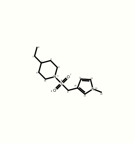 CCC1CCN(S(=O)(=O)Cc2ccn(C)c2)CC1